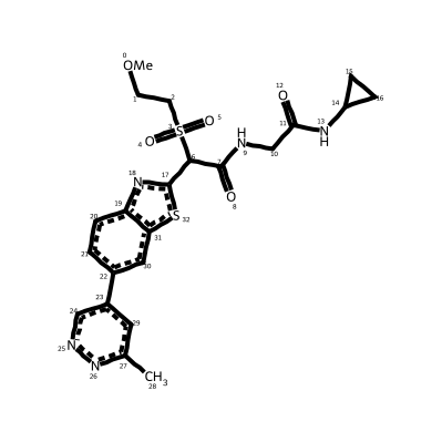 COCCS(=O)(=O)C(C(=O)NCC(=O)NC1CC1)c1nc2ccc(-c3cnnc(C)c3)cc2s1